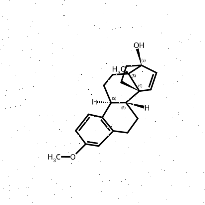 COc1ccc2c(c1)CC[C@@H]1[C@@H]2CC[C@]2(C)[C@@]3(O)C=C[C@]12CC3